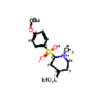 CCCCOc1ccc(S(=O)(=O)C2CC(C(=O)OCC)CCN2C)cc1